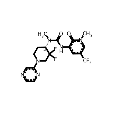 CN(C(=O)Nc1cc(C(F)(F)F)cn(C)c1=O)[C@H]1CCN(c2cnccn2)CC1(F)F